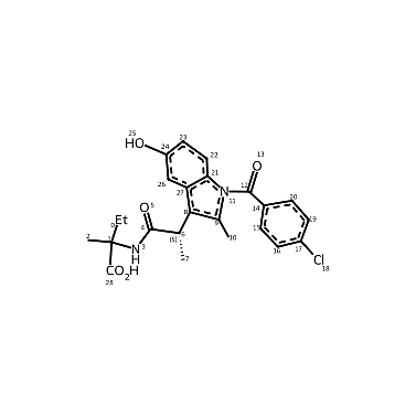 CCC(C)(NC(=O)[C@@H](C)c1c(C)n(C(=O)c2ccc(Cl)cc2)c2ccc(O)cc12)C(=O)O